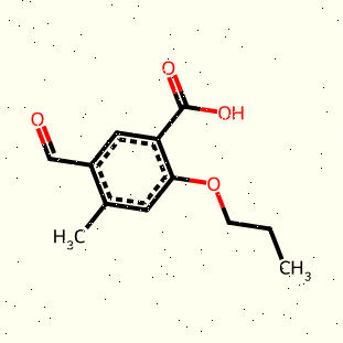 CCCOc1cc(C)c(C=O)cc1C(=O)O